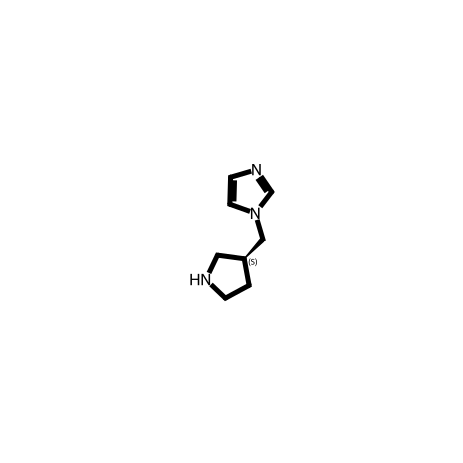 c1cn(C[C@H]2CCNC2)cn1